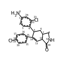 Nc1ccc(C2CC3CNC(=O)C3C=C2c2ccc(Cl)cc2)c(Cl)c1